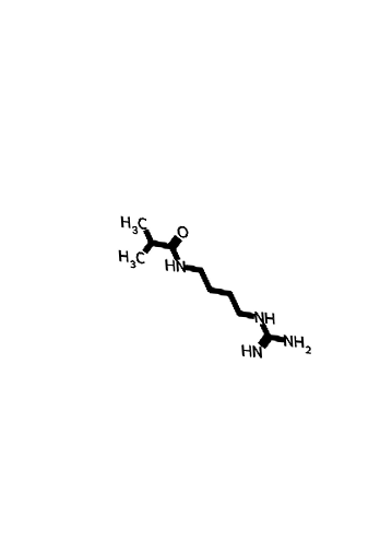 CC(C)C(=O)NCCCCNC(=N)N